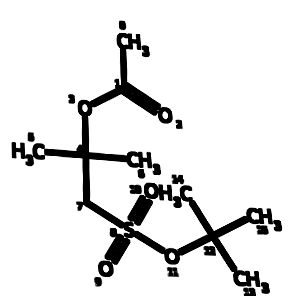 CC(=O)OC(C)(C)CS(=O)(=O)OC(C)(C)C